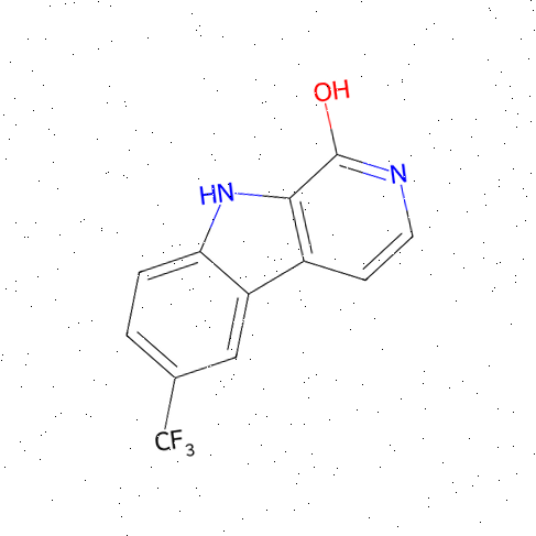 Oc1nccc2c1[nH]c1ccc(C(F)(F)F)cc12